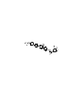 CC1CCC(c2ccc(-c3ccc(-c4ccc(CCC(F)(F)Oc5cc(F)c(F)c(F)c5)cc4)c(F)c3F)cc2)CC1